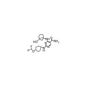 C[C@]1(Nc2ncc(C(N)=O)c(N[C@@H]3CCC[C@H](O)C3)n2)CC[C@@H](OC(F)F)CC1